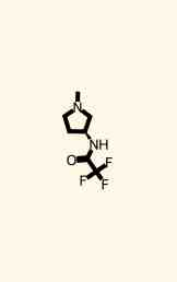 CN1CC[C@H](NC(=O)C(F)(F)F)C1